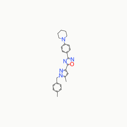 Cc1ccc(Cn2nc(-c3nc(-c4ccc(N5CCCCC5)cc4)no3)cc2C)cc1